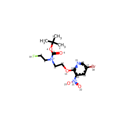 CC(C)(C)OC(=O)N(CCF)CCOc1ncc(Br)cc1[N+](=O)[O-]